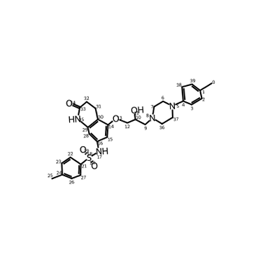 Cc1ccc(N2CCN(CC(O)COc3cc(NS(=O)(=O)c4ccc(C)cc4)cc4c3CCC(=O)N4)CC2)cc1